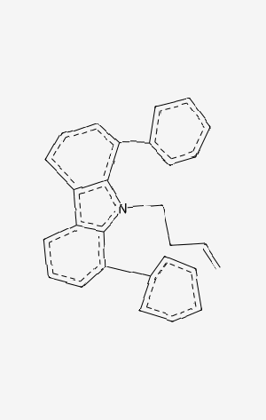 C=CCCn1c2c(-c3ccccc3)cccc2c2cccc(-c3ccccc3)c21